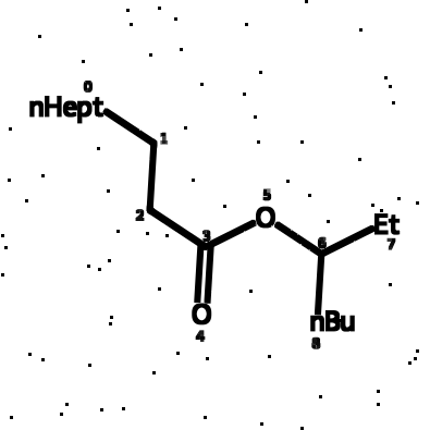 CCCCCCCCCC(=O)OC(CC)CCCC